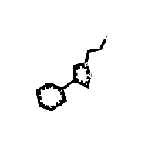 FCCn1cc(-c2ccccc2)cn1